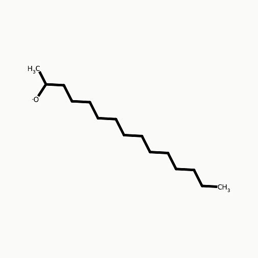 CCCCCCCCCCCCCC(C)[O]